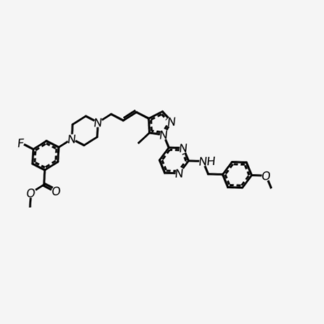 COC(=O)c1cc(F)cc(N2CCN(CC=Cc3cnn(-c4ccnc(NCc5ccc(OC)cc5)n4)c3C)CC2)c1